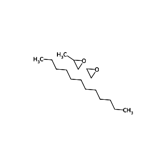 C1CO1.CC1CO1.CCCCCCCCCCCC